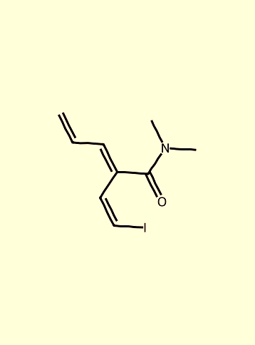 C=C/C=C(\C=C/I)C(=O)N(C)C